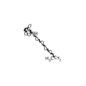 C=C(C)CCOCCOCCOCCOCCNC(=O)CN1C(=O)C=CC1=O